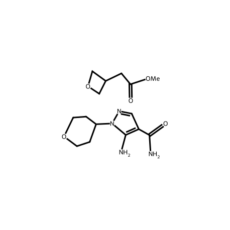 COC(=O)CC1COC1.NC(=O)c1cnn(C2CCOCC2)c1N